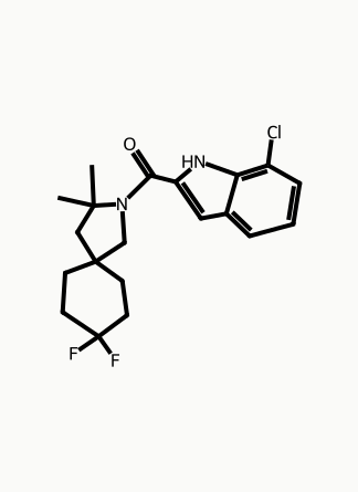 CC1(C)CC2(CCC(F)(F)CC2)CN1C(=O)c1cc2cccc(Cl)c2[nH]1